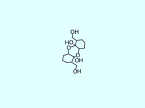 OCC1CCCC2OC3(O)C(CO)CCCC3OC12O